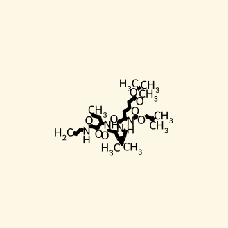 C=CCNC(=O)C(=O)C(CCC)NC(=O)C1C2C(CN1C(=O)C(CCCC(=O)OC(C)(C)C)NC(=O)OCC(C)C)C2(C)C